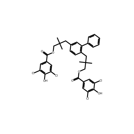 CC(C)(COC(=O)c1cc(Cl)c(O)c(Cl)c1)Cc1ccc(CC(C)(C)COC(=O)c2cc(Cl)c(O)c(Cl)c2)c(-c2ccccc2)c1